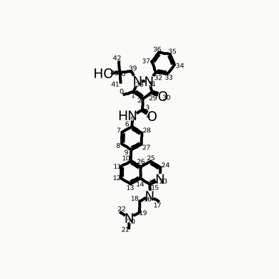 Cc1c(C(=O)Nc2ccc(-c3cccc4c(N(C)CCN(C)C)nccc34)cc2)c(=O)n(-c2ccccc2)n1CC(C)(C)O